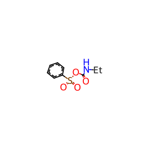 CCNC(=O)OS(=O)(=O)c1ccccc1